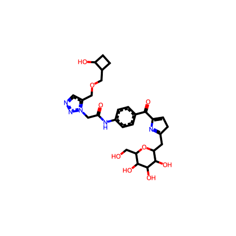 O=C(Cn1nncc1COCC1CCC1O)Nc1ccc(C(=O)C2=CCC(CC3OC(CO)C(O)C(O)C3O)=N2)cc1